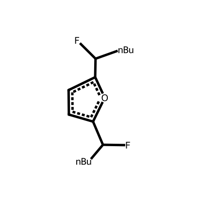 CCCCC(F)c1ccc(C(F)CCCC)o1